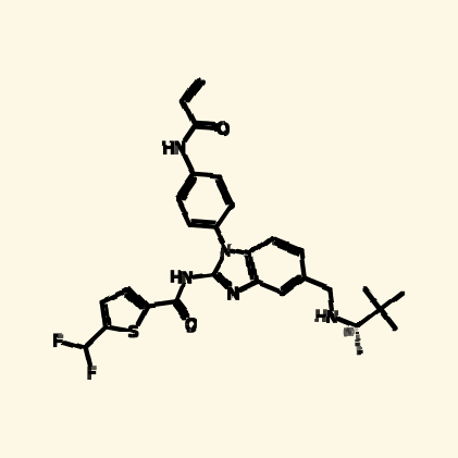 C=CC(=O)Nc1ccc(-n2c(NC(=O)c3ccc(C(F)F)s3)nc3cc(CN[C@@H](C)C(C)(C)C)ccc32)cc1